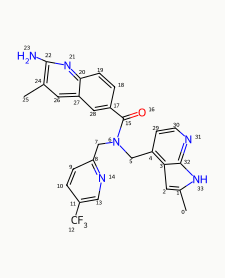 Cc1cc2c(CN(Cc3ccc(C(F)(F)F)cn3)C(=O)c3ccc4nc(N)c(C)cc4c3)ccnc2[nH]1